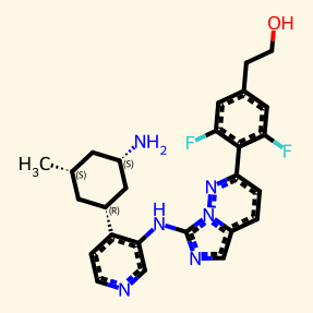 C[C@@H]1C[C@H](N)C[C@H](c2ccncc2Nc2ncc3ccc(-c4c(F)cc(CCO)cc4F)nn23)C1